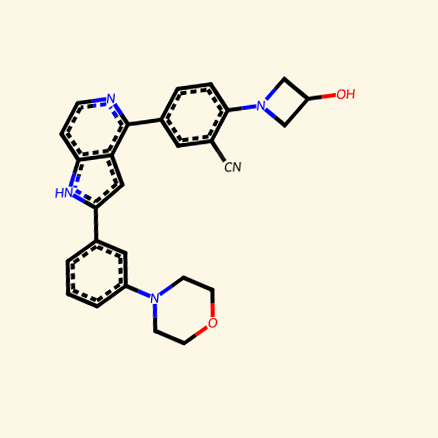 N#Cc1cc(-c2nccc3[nH]c(-c4cccc(N5CCOCC5)c4)cc23)ccc1N1CC(O)C1